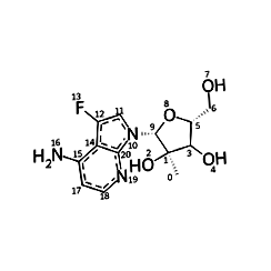 C[C@@]1(O)C(O)[C@@H](CO)O[C@H]1n1cc(F)c2c(N)ccnc21